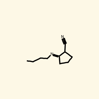 CCCCN=C1CCCC1C#N